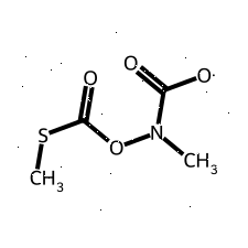 CSC(=O)ON(C)C([O])=O